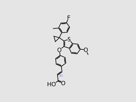 COc1ccc2c(Oc3ccc(/C=C/C(=O)O)cc3)c(C3(c4ccc(F)cc4C)CC3)sc2c1